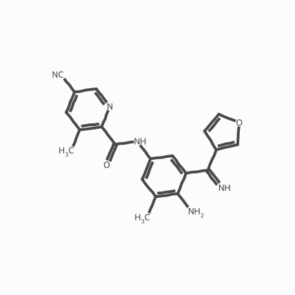 Cc1cc(C#N)cnc1C(=O)Nc1cc(C)c(N)c(C(=N)c2ccoc2)c1